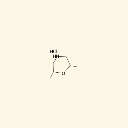 CC1CNCC(C)O1.Cl